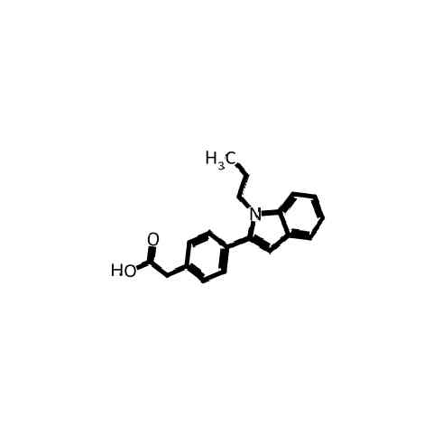 CCCn1c(-c2ccc(CC(=O)O)cc2)cc2ccccc21